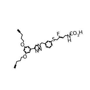 C#CCCCOc1cc(OCCCC#C)cc(-c2cn(Cc3cccc(SCC(F)=CCNC(=O)O)c3)nn2)c1